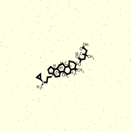 CN(CCC[C@]12CCC[C@@H]1[C@H]1CCC3[C@@]4(C)CC[C@H](OC(=O)CC(C)(C)CC(=O)O)C(C)(C)C4CC[C@@]3(C)[C@]1(C)CC2)C1CC1